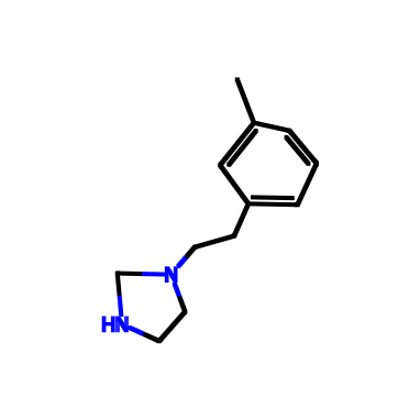 Cc1cccc(CCN2CCNC2)c1